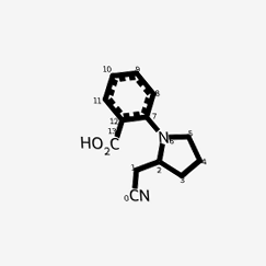 N#CCC1CCCN1c1ccccc1C(=O)O